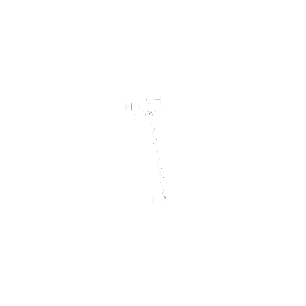 [CH2]C([CH2])OOCCCCCCCCCCCCCCCCCC